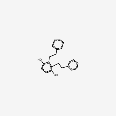 Oc1ccc(O)c(CCc2ccccc2)c1CCc1ccccc1